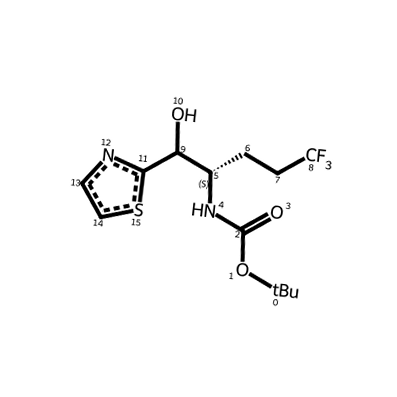 CC(C)(C)OC(=O)N[C@@H](CCC(F)(F)F)C(O)c1nccs1